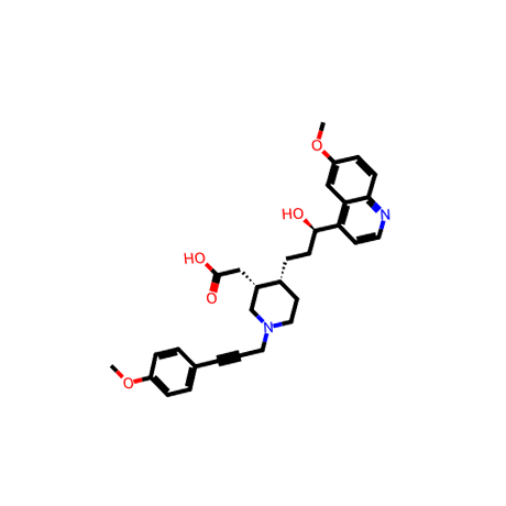 COc1ccc(C#CCN2CC[C@@H](CC[C@@H](O)c3ccnc4ccc(OC)cc34)[C@@H](CC(=O)O)C2)cc1